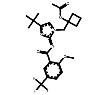 COc1ccc(C(F)(F)F)cc1C(=O)N=c1sc(C(C)(C)C)cn1CC1(OC(C)=O)CCC1